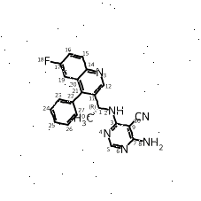 C[C@@H](Nc1ncnc(N)c1C#N)c1cnc2ccc(F)cc2c1-c1ccccc1